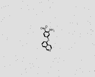 Nc1cc(Sc2cccc3cnccc23)ccc1[N+](=O)[O-]